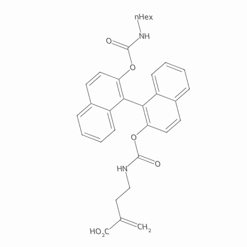 C=C(CCNC(=O)Oc1ccc2ccccc2c1-c1c(OC(=O)NCCCCCC)ccc2ccccc12)C(=O)O